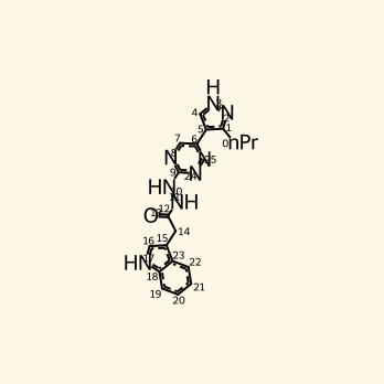 CCCc1n[nH]cc1-c1cnc(NNC(=O)Cc2c[nH]c3ccccc23)nn1